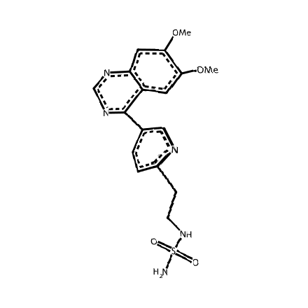 COc1cc2ncnc(-c3ccc(CCNS(N)(=O)=O)nc3)c2cc1OC